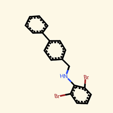 Brc1cccc(Br)c1NCc1ccc(-c2ccccc2)cc1